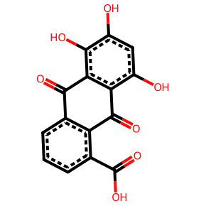 O=C(O)c1cccc2c1C(=O)c1c(O)cc(O)c(O)c1C2=O